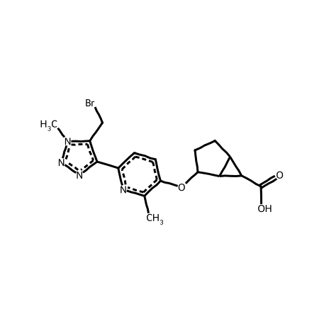 Cc1nc(-c2nnn(C)c2CBr)ccc1OC1CCC2C(C(=O)O)C12